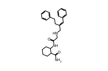 NC(=O)C1CCCCC1NC(=O)CNC/C(=C/c1ccccc1)CCc1ccccc1